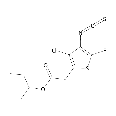 CCC(C)OC(=O)Cc1sc(F)c(N=C=S)c1Cl